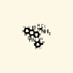 CCC(N)Nc1ccc(Nc2cccc(C)c2C)c2c1C(=O)c1ccccc1C2=O